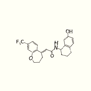 O=C(C=C1CCCOc2cc(C(F)(F)F)ccc21)NC1CCCc2ccc(O)cc21